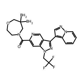 BC1(B)COCCN(C(=O)c2cc3c(cn2)c(-c2cnn4ccccc24)nn3CC(F)(F)F)C1